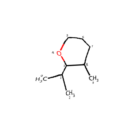 CC(C)C1OCCCC1C